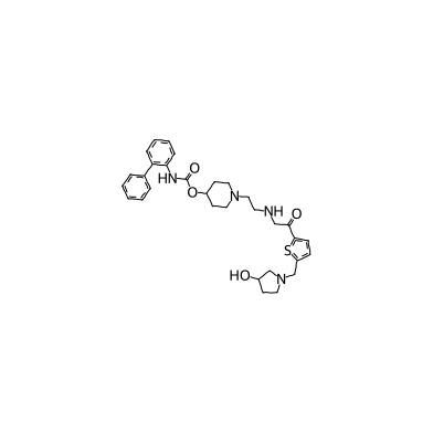 O=C(Nc1ccccc1-c1ccccc1)OC1CCN(CCNCC(=O)c2ccc(CN3CCC(O)C3)s2)CC1